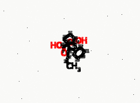 CCC[CH]C(C1(C(=O)O)CCCCC1)C1(C(=O)O)CCCCC1